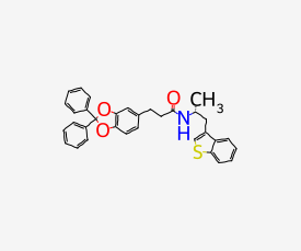 C[C@H](Cc1csc2ccccc12)NC(=O)CCc1ccc2c(c1)OC(c1ccccc1)(c1ccccc1)O2